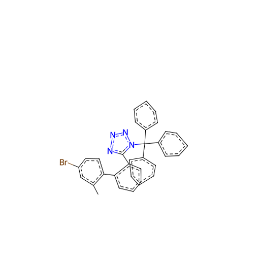 Cc1cc(Br)ccc1-c1ccccc1-c1nnnn1C(c1ccccc1)(c1ccccc1)c1ccccc1